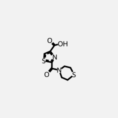 O=C(O)c1csc(C(=O)N2CCSCC2)n1